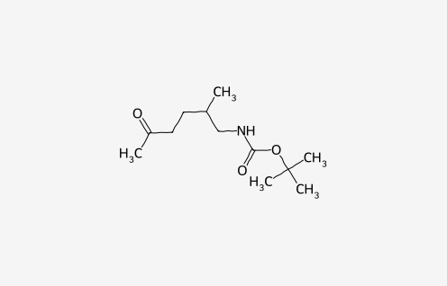 CC(=O)CCC(C)CNC(=O)OC(C)(C)C